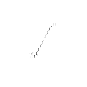 CCCCCCCCCCCCCCCCCC(=O)C(CO)S(=O)(=O)O